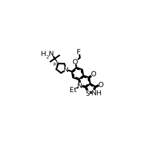 CCn1c2cc(N3CC[C@@H](C(C)(C)N)C3)c(OCF)cc2c(=O)c2c(=O)[nH]sc21